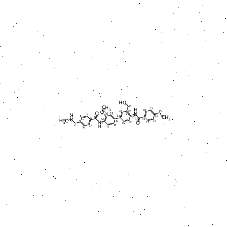 CBCc1ccc(C(=O)Nc2ccc(-c3ccc(NC(=O)c4ccc(CC)cc4)c(CO)c3)cc2OC)cc1